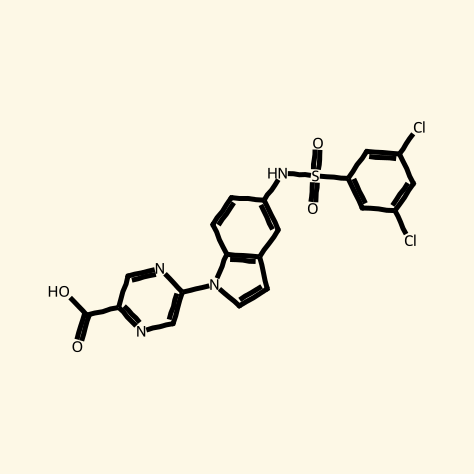 O=C(O)c1cnc(-n2ccc3cc(NS(=O)(=O)c4cc(Cl)cc(Cl)c4)ccc32)cn1